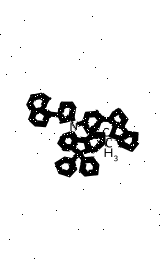 CC1(C)c2ccccc2-c2cccc(-c3ccc(N(c4cccc(-c5cccc6ccccc56)c4)c4cccc5c4-c4ccccc4C5(c4ccccc4)c4ccccc4)cc3)c21